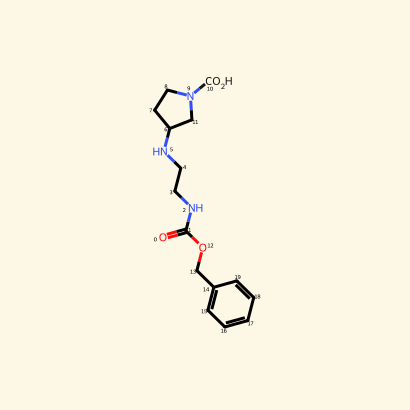 O=C(NCCNC1CCN(C(=O)O)C1)OCc1ccccc1